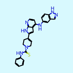 S=C(Nc1ccccc1)N1CC=C(c2cc3c(Nc4ccc5[nH]ncc5c4)ccnc3[nH]2)CC1